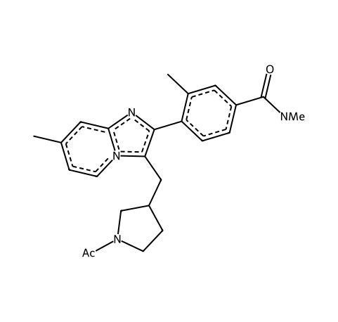 CNC(=O)c1ccc(-c2nc3cc(C)ccn3c2CC2CCN(C(C)=O)C2)c(C)c1